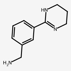 NCc1cccc(C2=NCCCN2)c1